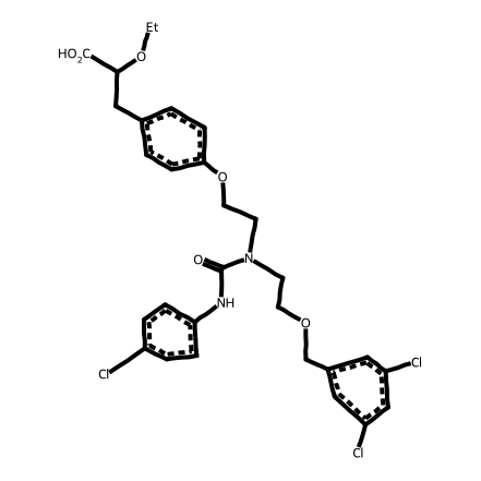 CCOC(Cc1ccc(OCCN(CCOCc2cc(Cl)cc(Cl)c2)C(=O)Nc2ccc(Cl)cc2)cc1)C(=O)O